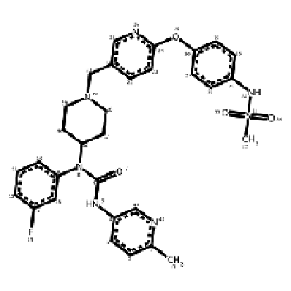 Cc1ccc(NC(=O)N(c2cccc(F)c2)C2CCN(Cc3ccc(Oc4ccc(NS(C)(=O)=O)cc4)nc3)CC2)cn1